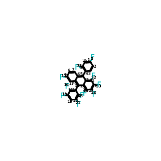 Fc1ccc(-c2c3ccc(F)cc3c(-c3c(F)c(F)cc(F)c3F)c3c(F)c(F)c(F)c(F)c23)c(F)c1